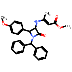 COC(=O)C=C(C)NC1C(=O)N(C(c2ccccc2)c2ccccc2)C1c1ccc(OC)cc1